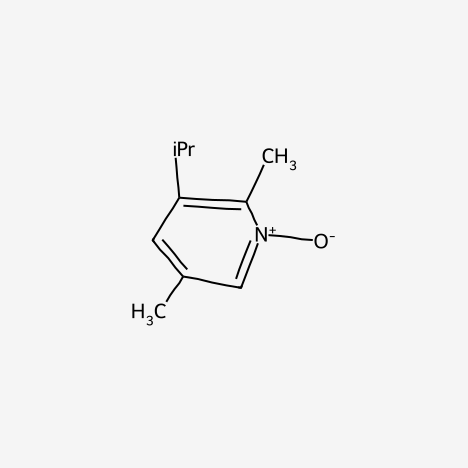 Cc1cc(C(C)C)c(C)[n+]([O-])c1